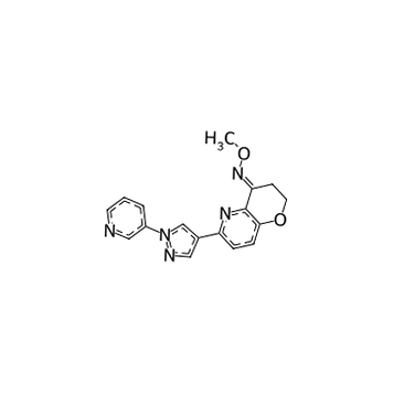 CO/N=C1\CCOc2ccc(-c3cnn(-c4cccnc4)c3)nc21